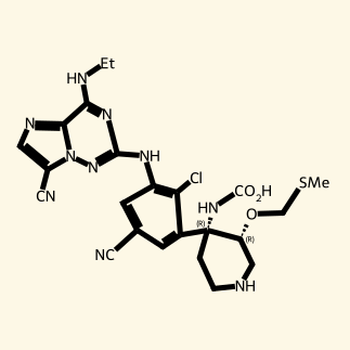 CCNc1nc(Nc2cc(C#N)cc([C@]3(NC(=O)O)CCNC[C@H]3OCSC)c2Cl)nn2c(C#N)cnc12